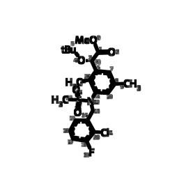 COC(=O)[C@@H](OC(C)(C)C)c1cc(C)cc(N(Cc2cccc(F)c2Cl)S(C)(=O)=O)c1C